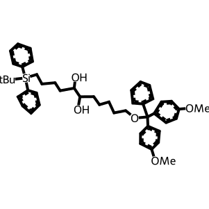 COc1ccc(C(OCCCCCC(O)C(O)CCCC[Si](c2ccccc2)(c2ccccc2)C(C)(C)C)(c2ccccc2)c2ccc(OC)cc2)cc1